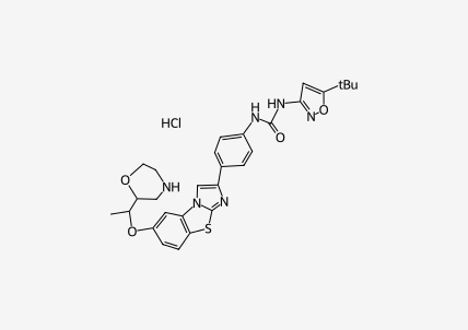 CC(Oc1ccc2sc3nc(-c4ccc(NC(=O)Nc5cc(C(C)(C)C)on5)cc4)cn3c2c1)C1CNCCO1.Cl